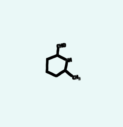 CC1CCCC(C=O)N1